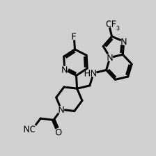 N#CCC(=O)N1CCC(CNc2cccc3nc(C(F)(F)F)cn23)(c2ccc(F)cn2)CC1